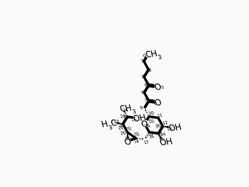 CCCCC(=O)CC(=O)C[C@@H]1C[C@@H](O)[C@@H](O)[C@H](C[C@@H]2O[C@H]2[C@@H](C)[C@H](C)O)O1